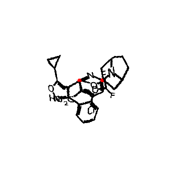 O=C(O)c1cnc(N2C3CCC2CC(OCc2c(-c4ccccc4OC(F)F)noc2C2CC2)C3)cc1Cl